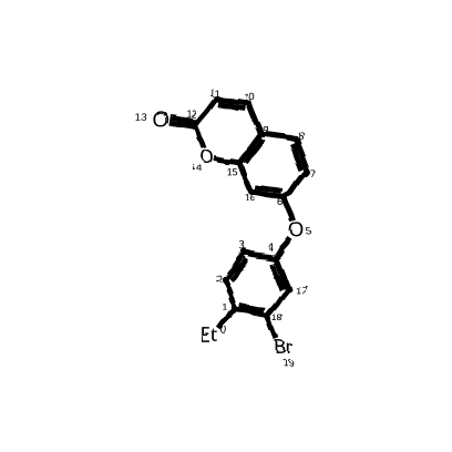 CCc1ccc(Oc2ccc3ccc(=O)oc3c2)cc1Br